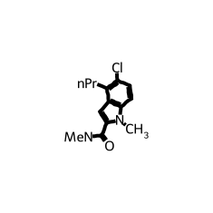 CCCc1c(Cl)ccc2c1cc(C(=O)NC)n2C